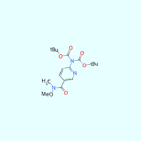 CON(C)C(=O)c1ccc(N(C(=O)OC(C)(C)C)C(=O)OC(C)(C)C)nc1